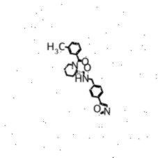 Cc1cccc(C(=O)N2CCCC[C@H]2C(=O)NCc2ccc(-c3cnco3)cc2)c1